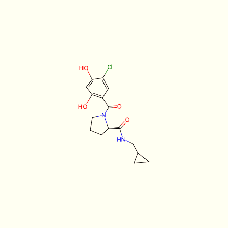 O=C(NCC1CC1)[C@H]1CCCN1C(=O)c1cc(Cl)c(O)cc1O